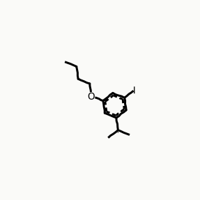 CCCCOc1cc(I)cc([C](C)C)c1